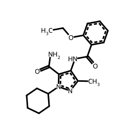 CCOc1ccccc1C(=O)Nc1c(C)nn(C2CCCCC2)c1C(N)=O